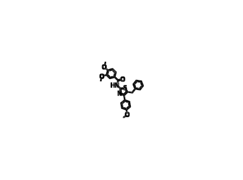 COc1ccc(-c2nc(NC(=O)c3ccc(OC)c(OC)c3)sc2Cc2ccccc2)cc1